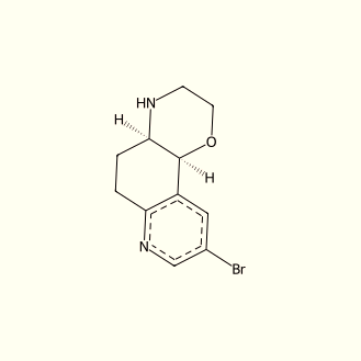 Brc1cnc2c(c1)[C@@H]1OCCN[C@@H]1CC2